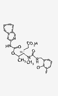 CC(OC(=O)Nc1cc2ccccc2cn1)[C@H](CCC(=O)O)N(C)C(=O)NCc1cccc(F)c1Cl